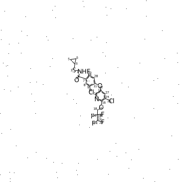 O=C(NSC1CC1)c1cc(Cl)c(Oc2cnc(OCC(F)(F)C(F)F)c(Cl)c2)cc1F